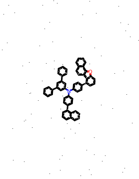 c1ccc(-c2cc(-c3ccccc3)cc(N(c3ccc(-c4cccc5ccccc45)cc3)c3ccc(-c4cccc5oc6c7ccccc7ccc6c45)cc3)c2)cc1